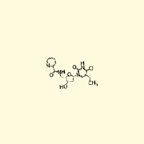 CCc1cn([C@@H]2CC(O)[C@H](CNC(=O)c3ccccn3)O2)c(=O)[nH]c1=O